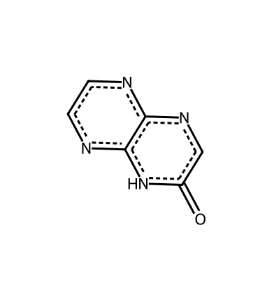 O=c1cnc2nccnc2[nH]1